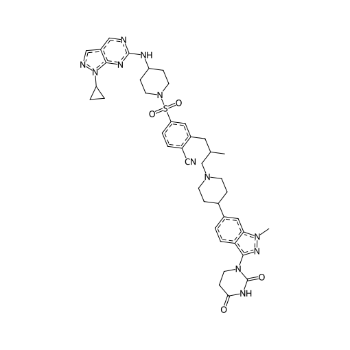 CC(Cc1cc(S(=O)(=O)N2CCC(Nc3ncc4cnn(C5CC5)c4n3)CC2)ccc1C#N)CN1CCC(c2ccc3c(N4CCC(=O)NC4=O)nn(C)c3c2)CC1